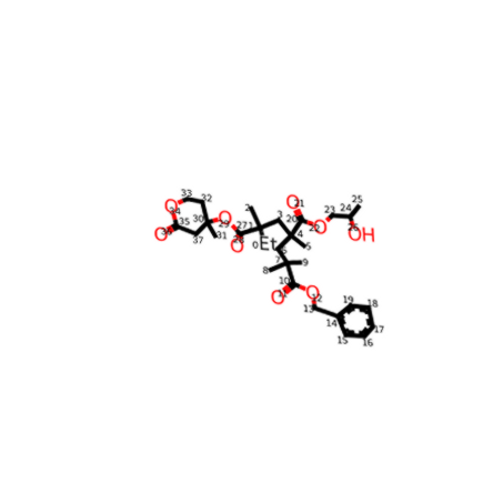 CCC(C)(CC(C)(CC(C)(C)C(=O)OCc1ccccc1)C(=O)OCC(C)O)C(=O)OC1(C)CCOC(=O)C1